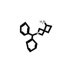 NC1CCC12CN(C(c1ccccc1)c1ccccc1)C2